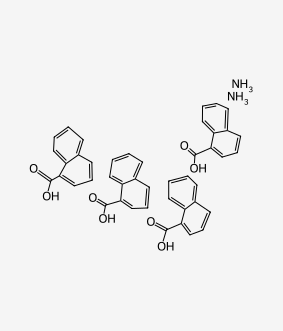 N.N.O=C(O)c1cccc2ccccc12.O=C(O)c1cccc2ccccc12.O=C(O)c1cccc2ccccc12.O=C(O)c1cccc2ccccc12